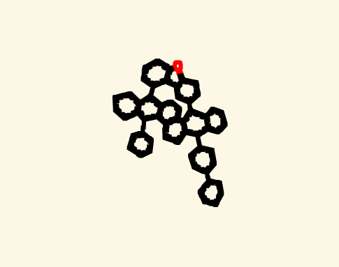 c1ccc(-c2ccc(-c3c4ccccc4c(-c4ccc5oc6cccc(-c7c8ccccc8c(-c8ccccc8)c8ccccc78)c6c5c4)c4ccccc34)cc2)cc1